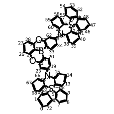 c1ccc(S2(c3ccccc3)c3ccccc3N(c3ccc4c(c3)Oc3cccc5c3B4c3ccc(N4c6ccccc6S(c6ccccc6)(c6ccccc6)c6ccccc64)cc3O5)c3ccccc32)cc1